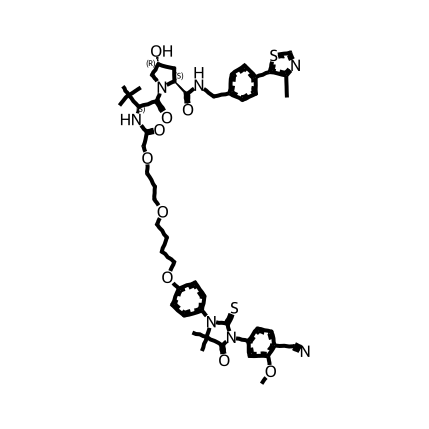 COc1cc(N2C(=O)C(C)(C)N(c3ccc(OCCCCOCCCOCC(=O)N[C@H](C(=O)N4C[C@H](O)C[C@H]4C(=O)NCc4ccc(-c5scnc5C)cc4)C(C)(C)C)cc3)C2=S)ccc1C#N